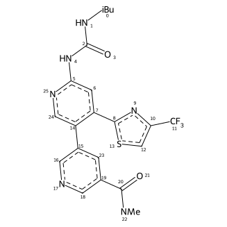 CCC(C)NC(=O)Nc1cc(-c2nc(C(F)(F)F)cs2)c(-c2cncc(C(=O)NC)c2)cn1